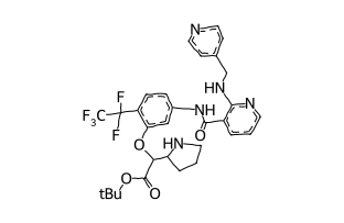 CC(C)(C)OC(=O)C(Oc1cc(NC(=O)c2cccnc2NCc2ccncc2)ccc1C(F)(F)C(F)(F)F)C1CCCN1